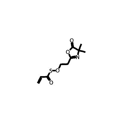 C=CC(=O)SOCCC1=NC(C)(C)C(=O)O1